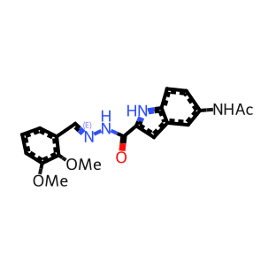 COc1cccc(/C=N/NC(=O)c2cc3cc(NC(C)=O)ccc3[nH]2)c1OC